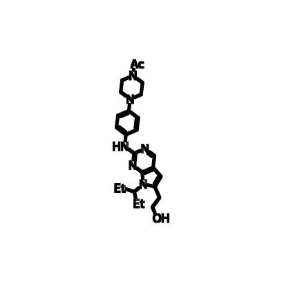 CCC(CC)n1c(CCO)cc2cnc(Nc3ccc(N4CCN(C(C)=O)CC4)cc3)nc21